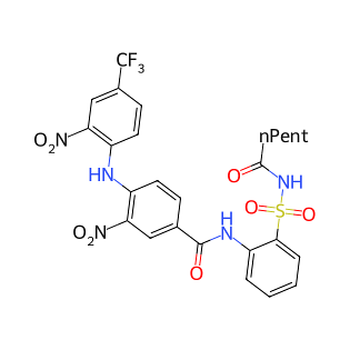 CCCCCC(=O)NS(=O)(=O)c1ccccc1NC(=O)c1ccc(Nc2ccc(C(F)(F)F)cc2[N+](=O)[O-])c([N+](=O)[O-])c1